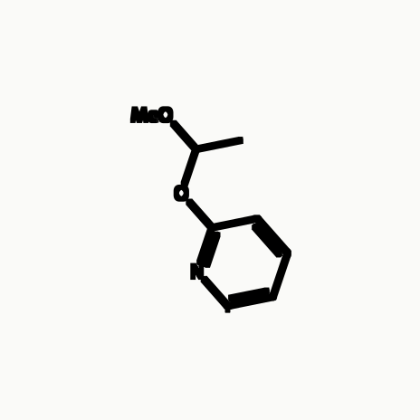 COC(C)Oc1ccc[c]n1